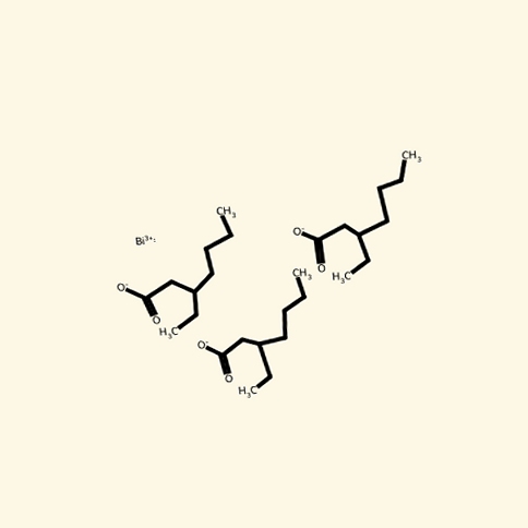 CCCCC(CC)CC(=O)[O-].CCCCC(CC)CC(=O)[O-].CCCCC(CC)CC(=O)[O-].[Bi+3]